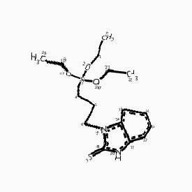 CCO[Si](CCCn1c(=S)[nH]c2ccccc21)(OCC)OCC